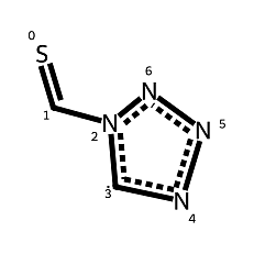 S=Cn1[c]nnn1